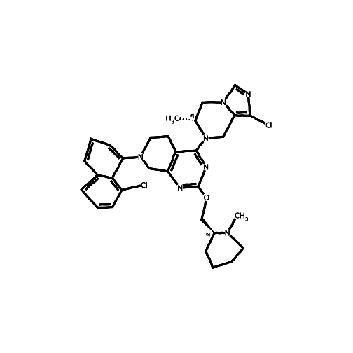 C[C@@H]1Cn2cnc(Cl)c2CN1c1nc(OC[C@@H]2CCCCN2C)nc2c1CCN(c1cccc3cccc(Cl)c13)C2